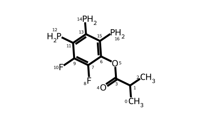 CC(C)C(=O)Oc1c(F)c(F)c(P)c(P)c1P